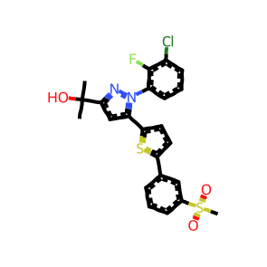 CC(C)(O)c1cc(-c2ccc(-c3cccc(S(C)(=O)=O)c3)s2)n(-c2cccc(Cl)c2F)n1